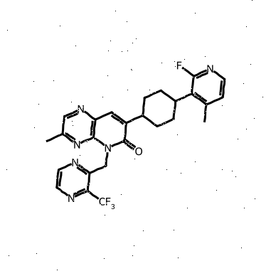 Cc1cnc2cc(C3CCC(c4c(C)ccnc4F)CC3)c(=O)n(Cc3nccnc3C(F)(F)F)c2n1